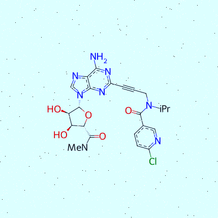 CNC(=O)[C@H]1O[C@@H](n2cnc3c(N)nc(C#CCN(C(=O)c4ccc(Cl)nc4)C(C)C)nc32)[C@H](O)[C@@H]1O